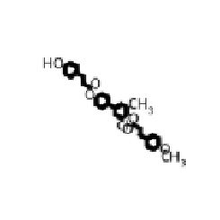 COc1ccc(CCC(=O)Oc2c(C)cc(-c3ccc(OC(=O)CCc4ccc(O)cc4)cc3)cc2C)cc1